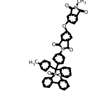 Cc1ccc(C(c2ccccc2)(c2ccc(N3C(=O)c4ccc(Oc5ccc6c(c5)C(=O)N(C)C6=O)cc4C3=O)cc2)P2(=O)Oc3ccccc3-c3ccccc32)cc1